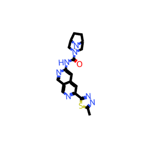 Cc1nnc(-c2cc3cc(NC(=O)N4CC5CCC(C4)N5C)ncc3cn2)s1